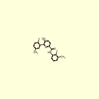 Cc1ccc(F)c(-c2nc(C(=O)Nc3cccc(C)c3F)ccc2C)c1